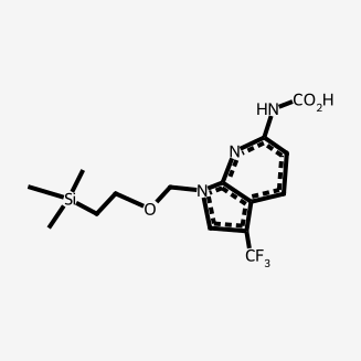 C[Si](C)(C)CCOCn1cc(C(F)(F)F)c2ccc(NC(=O)O)nc21